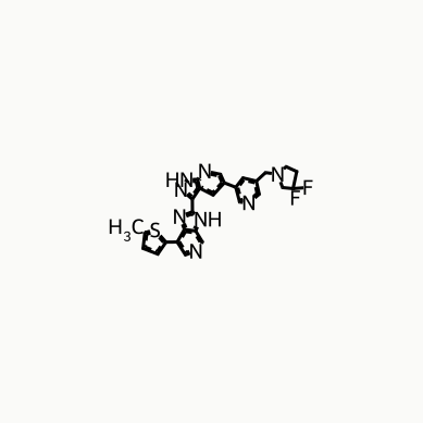 Cc1ccc(-c2cncc3[nH]c(-c4n[nH]c5ncc(-c6cncc(CN7CCC(F)(F)C7)c6)cc45)nc23)s1